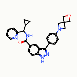 O=C(NC(c1ccccn1)C1CC1)c1ccc2[nH]nc(-c3ccc(N4CC5(COC5)C4)cc3)c2c1